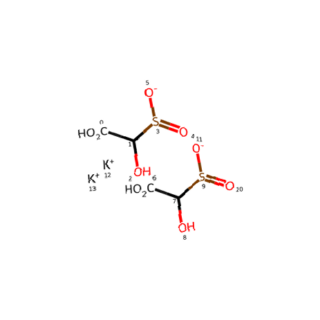 O=C(O)C(O)S(=O)[O-].O=C(O)C(O)S(=O)[O-].[K+].[K+]